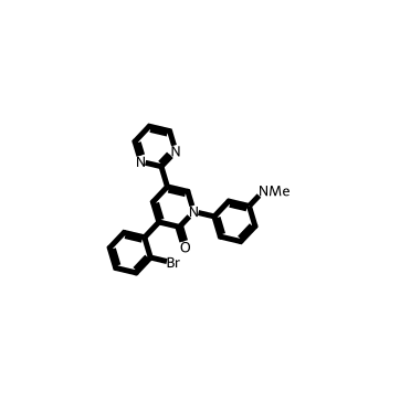 CNc1cccc(-n2cc(-c3ncccn3)cc(-c3ccccc3Br)c2=O)c1